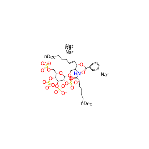 CCCCCCCCCCCCC/C=C/[C@@H](OC(=O)c1ccccc1)[C@H](CO[C@H]1O[C@H](COS(=O)(=O)[O-])[C@H](OS(=O)(=O)[O-])[C@H](OS(=O)(=O)[O-])[C@H]1OS(=O)(=O)[O-])NC(=O)CCCCCCCCCCCCCCC.[Na+].[Na+].[Na+].[Na+]